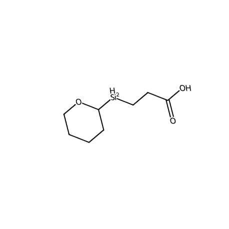 O=C(O)CC[SiH2]C1CCCCO1